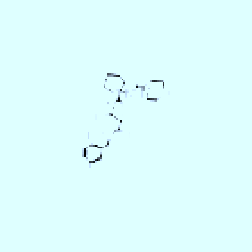 CCCC[C@H](NC(=O)C1(NC(=O)N2CCOCC2)CCCCC1)C(=O)C(=O)[AsH]Cc1cccc(F)c1